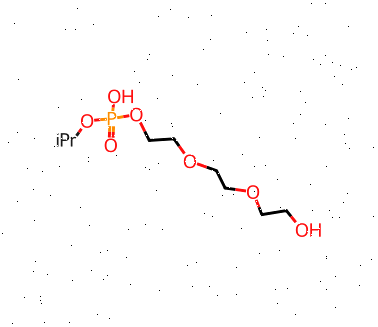 CC(C)OP(=O)(O)OCCOCCOCCO